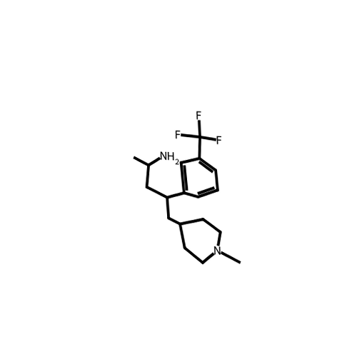 CC(N)CC(CC1CCN(C)CC1)c1cccc(C(F)(F)F)c1